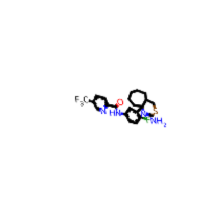 NC1=NC2(c3cc(NC(=O)c4ccc(C(F)(F)F)cn4)ccc3F)CCCCCC2CS1